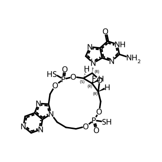 Nc1nc2c(ncn2[C@@H]2O[C@@H]3COP(=O)(S)OCCCn4c(nc5cncnc54)COP(=O)(S)O[C@@H]2[C@@H]3F)c(=O)[nH]1